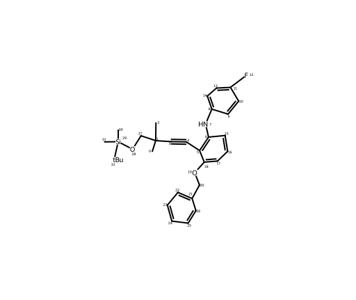 CC(C)(C#Cc1c(Nc2ccc(F)cc2)cccc1OCc1ccccc1)CO[Si](C)(C)C(C)(C)C